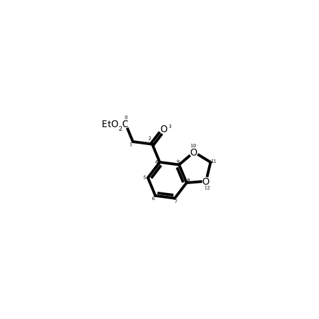 CCOC(=O)CC(=O)c1cccc2c1OCO2